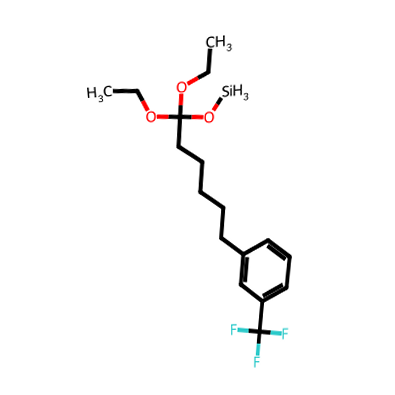 CCOC(CCCCCc1cccc(C(F)(F)F)c1)(O[SiH3])OCC